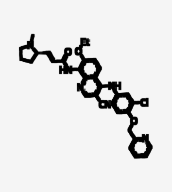 CCOc1ccc2c(Nc3ccc(OCc4ccccn4)c(Cl)c3)c(C#N)cnc2c1NC(=O)/C=C/[C@H]1CCCN1C